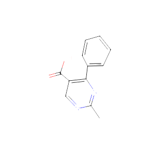 Cc1ncc(C(=O)O)c(-c2ccccc2)n1